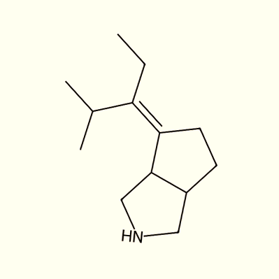 CC/C(=C1\CCC2CNCC12)C(C)C